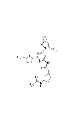 CC(=O)NC1CCN(CC(=O)Nc2cc(-n3nc(C)cc3C)nc(-c3ccc(C)o3)n2)C1